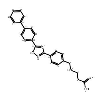 O=C(O)CCNCc1ccc(-c2noc(-c3ccc(-c4ccccc4)cn3)n2)cc1